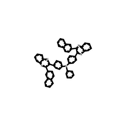 c1ccc(N(c2ccc(-c3nc4ccccc4nc3-c3ccc4ccccc4c3)cc2)c2ccc(-c3nc4ccccc4nc3-c3ccc4ccccc4c3)cc2)cc1